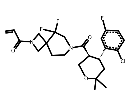 C=CC(=O)N1CC2(CCN(C(=O)[C@@H]3COC(C)(C)C[C@H]3c3cc(F)ccc3Cl)CC2(F)F)C1